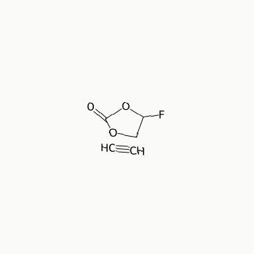 C#C.O=C1OCC(F)O1